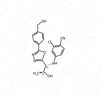 C[C@H](O)[C@@H](Nc1ccc(C#N)c(Cl)c1)c1nnc(-c2ccc(CO)cc2)o1